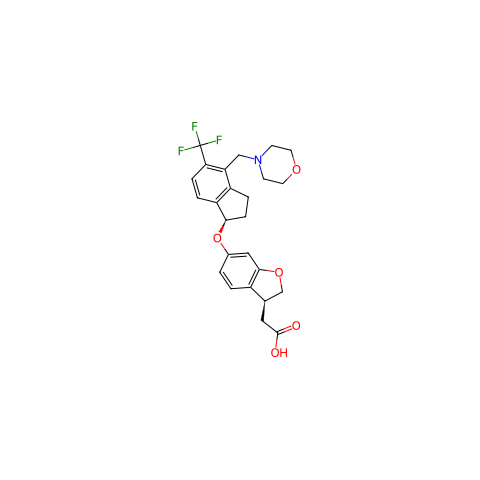 O=C(O)C[C@@H]1COc2cc(O[C@@H]3CCc4c3ccc(C(F)(F)F)c4CN3CCOCC3)ccc21